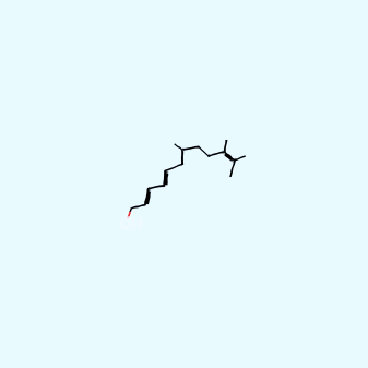 CC(C)=C(C)CCC(C)CC=CC=CCO